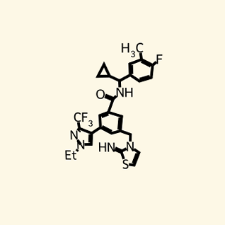 CCn1cc(-c2cc(Cn3ccsc3=N)cc(C(=O)NC(c3ccc(F)c(C)c3)C3CC3)c2)c(C(F)(F)F)n1